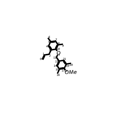 C=CCc1cc(C)cc(C)c1OCc1cc(C)c(OC)c(C)c1